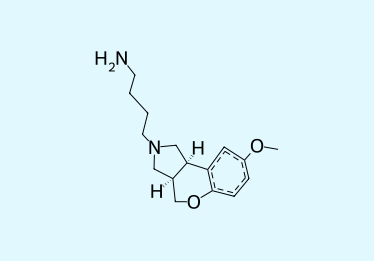 COc1ccc2c(c1)[C@@H]1CN(CCCCN)C[C@@H]1CO2